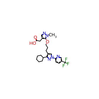 Cn1ncc(CC(=O)O)c1OCCCc1cn(-c2ccc(C(F)(F)F)cn2)nc1C1CCCCC1